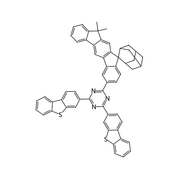 CC1(C)c2ccccc2-c2cc3c(cc21)C1(c2ccc(-c4nc(-c5ccc6c(c5)sc5ccccc56)nc(-c5ccc6c(c5)sc5ccccc56)n4)cc2-3)C2CC3CC(C2)CC1C3